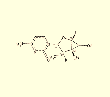 C[C@]1(F)[C@H](n2ccc(N)nc2=O)O[C@]2(F)C(O)[C@]12O